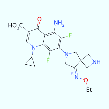 CCO/N=C1/CN(c2c(F)c(N)c3c(=O)c(C(=O)O)cn(C4CC4)c3c2F)CC12CNC2